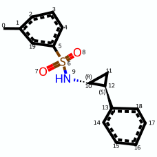 Cc1cccc(S(=O)(=O)N[C@@H]2C[C@H]2c2ccccc2)c1